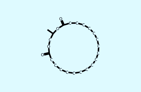 CC1COC(=O)CCCCCCCCCCCCCCCCCC(=O)O1